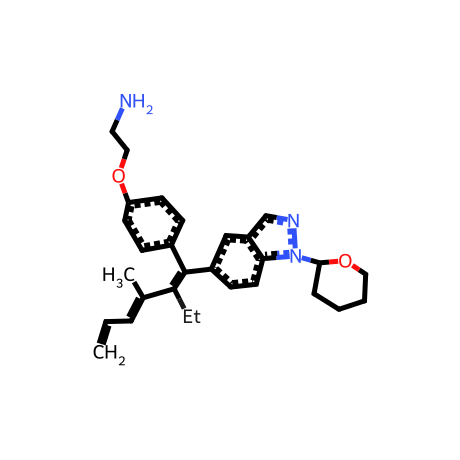 C=C/C=C(C)/C(CC)=C(\c1ccc(OCCN)cc1)c1ccc2c(cnn2C2CCCCO2)c1